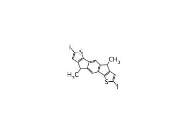 CC1c2cc3c(cc2-c2sc(I)cc21)C(C)c1cc(I)sc1-3